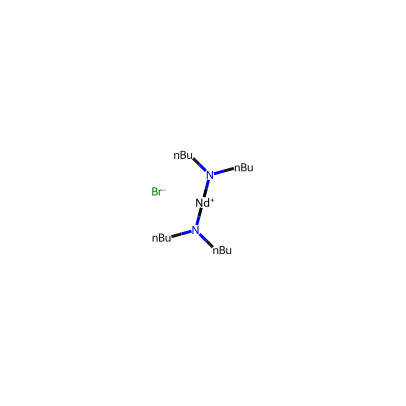 CCCC[N](CCCC)[Nd+][N](CCCC)CCCC.[Br-]